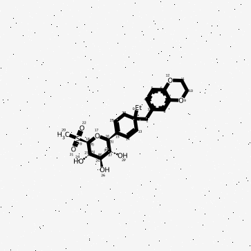 CCC1(Cc2ccc3c(c2)OCCO3)C=CC([C@@H]2O[C@H](S(C)(=O)=O)[C@@H](O)[C@H](O)[C@H]2O)=CC1